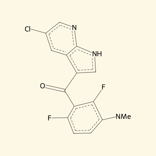 CNc1ccc(F)c(C(=O)c2c[nH]c3ncc(Cl)cc23)c1F